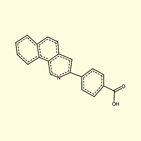 O=C(O)c1ccc(-c2cc3ccc4ccccc4c3cn2)cc1